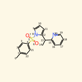 Cc1ccc(S(=O)(=O)n2cccc2C(C)c2ccccn2)cc1